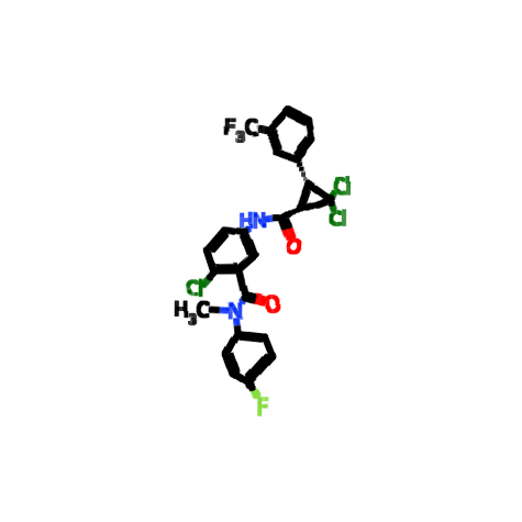 CN(C(=O)c1cc(NC(=O)[C@H]2[C@H](c3cccc(C(F)(F)F)c3)C2(Cl)Cl)ccc1Cl)c1ccc(F)cc1